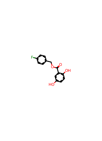 O=C(OCc1ccc(F)cc1)c1cc(O)ccc1O